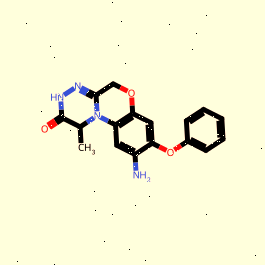 CC1C(=O)NN=C2COc3cc(Oc4ccccc4)c(N)cc3N21